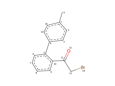 Cc1ccc(-c2ccccc2C(=O)CBr)cc1